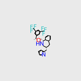 C[C@@H](OC[C@H]1NC[C@@H](Cc2ccccn2)CCC2C=CC=CC21)c1cc(C(F)(F)F)cc(C(F)(F)F)c1